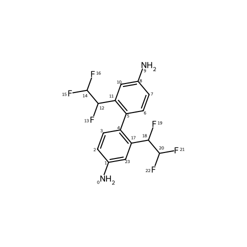 Nc1ccc(-c2ccc(N)cc2C(F)C(F)F)c(C(F)C(F)F)c1